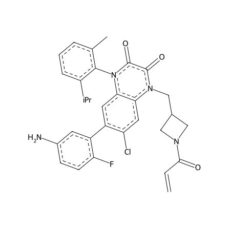 C=CC(=O)N1CC(Cn2c(=O)c(=O)n(-c3c(C)cccc3C(C)C)c3cc(-c4cc(N)ccc4F)c(Cl)cc32)C1